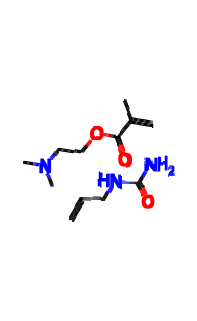 C=C(C)C(=O)OCCN(C)C.C=CCNC(N)=O